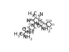 CCc1c(C#N)c(SC(C(N)=O)c2ccccc2)nc(N2CCC(NC(=O)[C@H](C)N)CC2)c1C#N